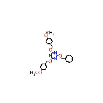 COc1ccc(COc2nc(OCC3=CCC=CC=C3)nc(OCc3ccc(OC)cc3)n2)cc1